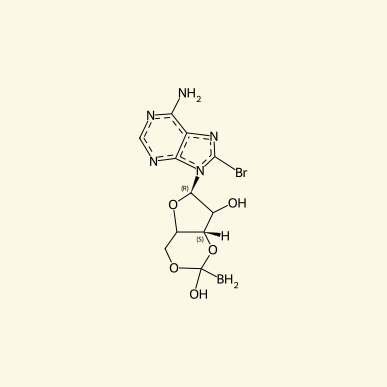 BC1(O)OCC2O[C@@H](n3c(Br)nc4c(N)ncnc43)C(O)[C@@H]2O1